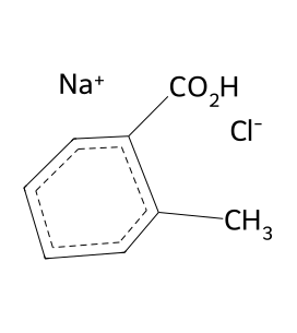 Cc1ccccc1C(=O)O.[Cl-].[Na+]